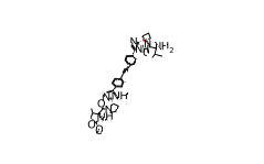 COC(=O)N[C@@H](C(=O)N1CCC[C@H]1c1ncc(-c2ccc(C#Cc3ccc(-c4cnc([C@@H]5CCCN5C(=O)[C@H](N)C(C)C)[nH]4)cc3)cc2)[nH]1)C(C)C